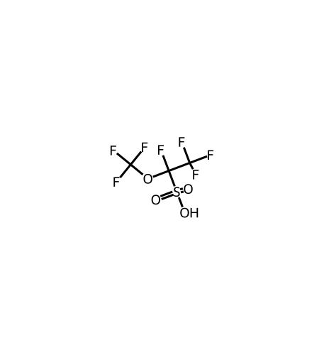 O=S(=O)(O)C(F)(OC(F)(F)F)C(F)(F)F